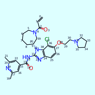 C=CC(=O)N1CCCC[C@@H](n2c(NC(=O)c3cc(C)nc(C)c3)nc3ccc(OCCN4CCCC4)c(Cl)c32)C1